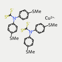 CSc1ccc(N(C(=S)[S-])c2ccc(SC)cc2)cc1.CSc1ccc(N(C(=S)[S-])c2ccc(SC)cc2)cc1.[Cu+2]